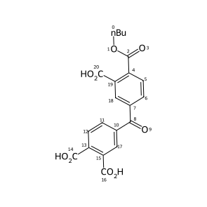 CCCCOC(=O)c1ccc(C(=O)c2ccc(C(=O)O)c(C(=O)O)c2)cc1C(=O)O